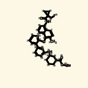 Cc1ccc2c(NC(=O)C3(CF)CC3)cccc2c1Oc1ncccc1-c1ccnc(N[C@H]2CCCN(C(=O)OC(C)(C)C)C2)n1